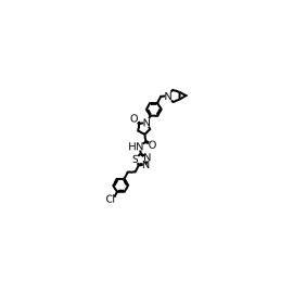 O=C(Nc1nnc(CCc2ccc(Cl)cc2)s1)C1CC(=O)N(c2ccc(CN3CC4CC4C3)cc2)C1